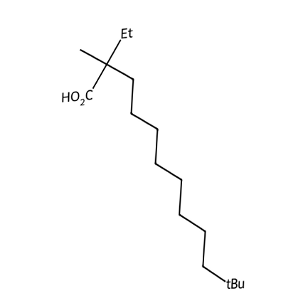 CCC(C)(CCCCCCCCC(C)(C)C)C(=O)O